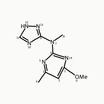 COc1cc(C)nc(N(C)c2nc[nH]n2)n1